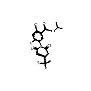 CC(C)OC(=O)c1cc(N2C(=O)C=C(C(F)(F)F)CC2=O)c(F)cc1Cl